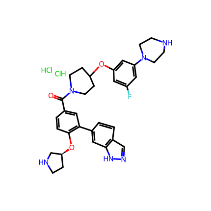 Cl.Cl.O=C(c1ccc(O[C@H]2CCNC2)c(-c2ccc3cn[nH]c3c2)c1)N1CCC(Oc2cc(F)cc(N3CCNCC3)c2)CC1